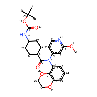 COc1cc(N(C(=O)C2CCC(NC(=O)OC(C)(C)C)CC2)c2cccc3c2OCCO3)ccn1